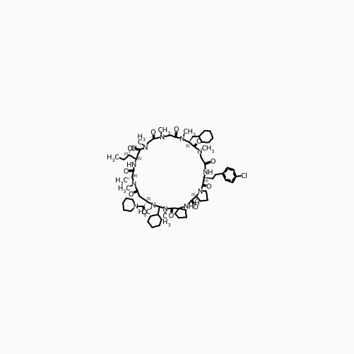 CC[C@H](C)[C@@H]1NC(=O)[C@@H](C)N(C)C(=O)C[C@@H](C(=O)N2CCCCC2)N(C)C(C2CCCCC2)N(C)C(=O)C2(CCCC2)NC(=O)[C@@H]2CCCN2C(=O)[C@H](CCc2ccc(Cl)cc2)NC(=O)CN(C)C(=O)[C@H](CC2CCCCC2)N(C)C(=O)CN(C)C(=O)CN(C)C1=O